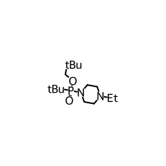 CCN1CCN(P(=O)(OCC(C)(C)C)C(C)(C)C)CC1